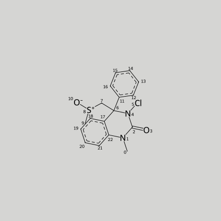 CN1C(=O)N(Cl)C(C[S+](C)[O-])(c2ccccc2)c2ccccc21